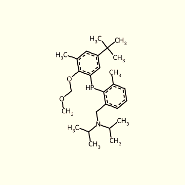 COCOc1c(C)cc(C(C)(C)C)cc1Pc1c(C)cccc1CN(C(C)C)C(C)C